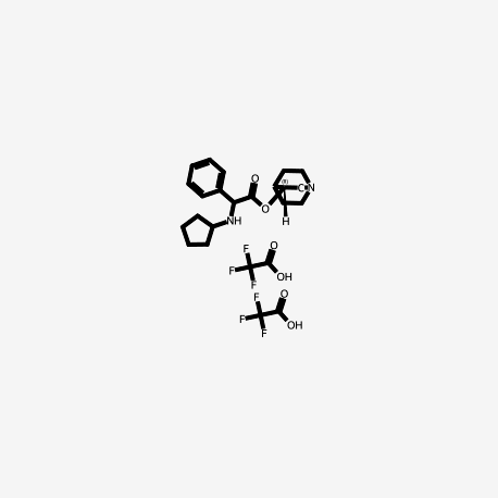 O=C(O)C(F)(F)F.O=C(O)C(F)(F)F.O=C(O[C@H]1CN2CCC1CC2)C(NC1CCCC1)c1ccccc1